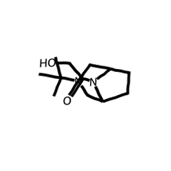 CC(C)(C)N1CC2CCC(C1)N2C(=O)CO